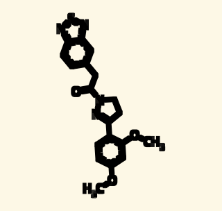 COc1ccc(C2=NN(C(=O)Cc3ccc4nsnc4c3)CC2)c(OC)c1